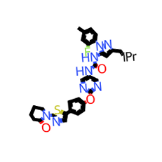 Cc1ccc(-n2nc(CC(C)C)cc2NC(=O)Nc2cnc(Oc3ccc(-c4cnc(N5CCCCC5=O)s4)cc3)nc2)c(F)c1